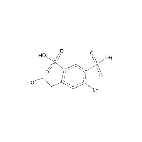 Cc1cc(CC[O])c(S(=O)(=O)O)cc1S(=O)(=O)O